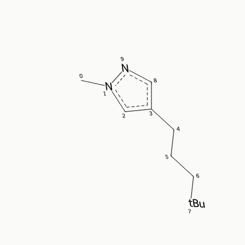 Cn1cc(CCCC(C)(C)C)cn1